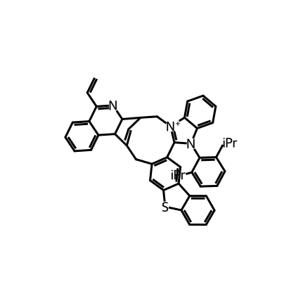 C=CC1=NC2C3C=C(Cc4cc5sc6ccccc6c5cc4-c4n(-c5c(C(C)C)cccc5C(C)C)c5ccccc5[n+]4C3)C2c2ccccc21